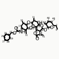 CCC1O[C@H](OC2O[C@H]3CC(C)[C@@H](O[C@@H]4C(C)C[C@@H](NC(=O)OCc5ccccc5)C(C)[C@H]4O)OC3C3OC(=O)N(C)C23)C(C)[C@H](C)[C@@H]1C